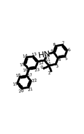 CC1(C)Cc2ccccc2NC1c1cccc(-c2ccccc2)c1